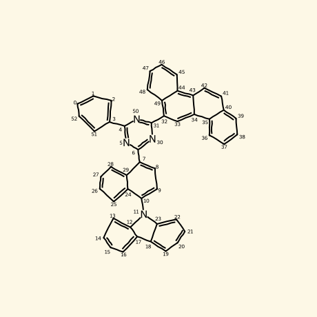 c1ccc(-c2nc(-c3ccc(-n4c5ccccc5c5ccccc54)c4ccccc34)nc(-c3cc4c5ccccc5ccc4c4ccccc34)n2)cc1